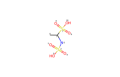 CC([N]S(=O)(=O)O)S(=O)(=O)O